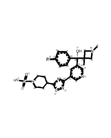 CCCS(=O)(=O)N1CCC(c2nc(-c3cncc([C@@](O)(c4ccc(C(C)C)cc4)C4(C)CN(C)C4)c3)no2)CC1